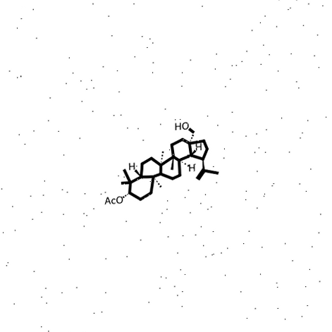 C=C(C)[C@@H]1CC[C@]2(CO)CC[C@]3(C)[C@H](CCC4[C@@]5(C)CC[C@H](OC(C)=O)C(C)(C)[C@@H]5CC[C@]43C)[C@@H]12